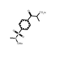 CON(C)S(=O)(=O)c1ccc(C(=O)C(C)C(=O)O)cc1